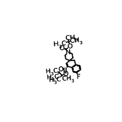 CC(C)(C)OC(=O)N1CCC2(C=C(B3OC(C)(C)C(C)(C)O3)c3cc(F)ccc3C2)CC1